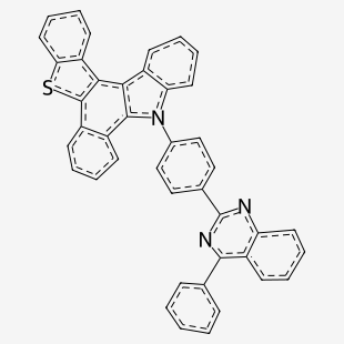 c1ccc(-c2nc(-c3ccc(-n4c5ccccc5c5c6c7ccccc7sc6c6ccccc6c54)cc3)nc3ccccc23)cc1